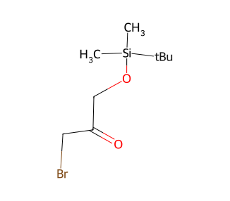 CC(C)(C)[Si](C)(C)OCC(=O)CBr